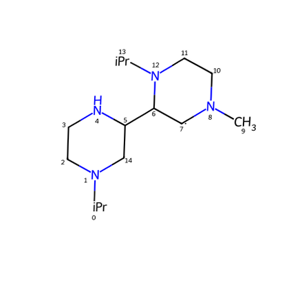 CC(C)N1CCNC(C2[CH]N(C)CCN2C(C)C)C1